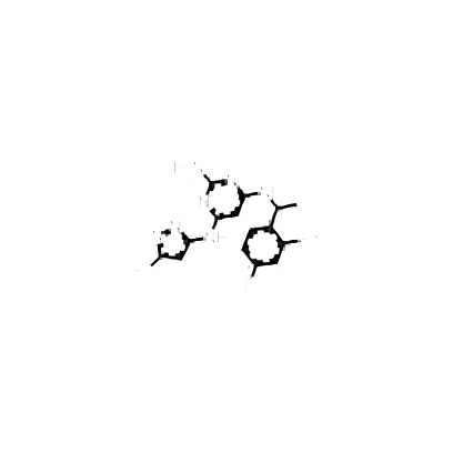 CCc1cc(Nc2cc(NC(C)c3ccc(F)cc3F)nc(N)n2)n[nH]1